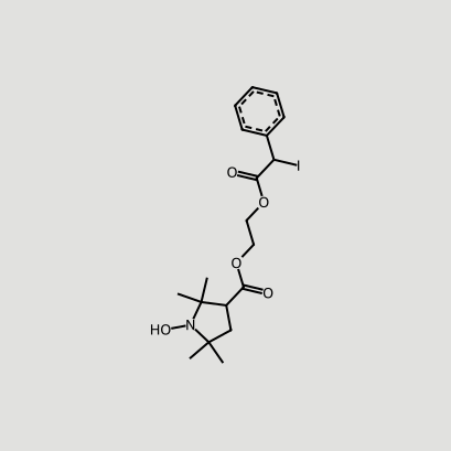 CC1(C)CC(C(=O)OCCOC(=O)C(I)c2ccccc2)C(C)(C)N1O